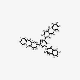 c1ccc2cc3nc(-c4cc(-c5cnc6ccccc6c5)cc(-c5ccc6cc7ccccc7cc6n5)n4)ccc3cc2c1